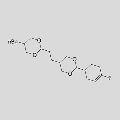 CCCCC1COC(CCC2COC(C3CC=C(F)CC3)OC2)OC1